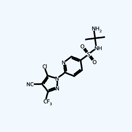 CC(C)(N)NS(=O)(=O)c1ccc(-n2nc(C(F)(F)F)c(C#N)c2Cl)nc1